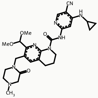 COC(OC)c1nc2c(cc1CN1CCN(C)CC1=O)CCCN2C(=O)Nc1cc(NC2CC2)c(C#N)cn1